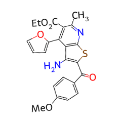 CCOC(=O)c1c(C)nc2sc(C(=O)c3ccc(OC)cc3)c(N)c2c1-c1ccco1